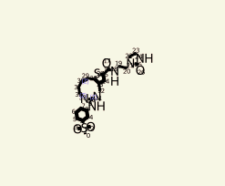 CS(=O)(=O)c1cccc(NC2=N/Cc3cc(C(=O)NCCN4CCNC4=O)sc3/C=C\C/C=N\2)c1